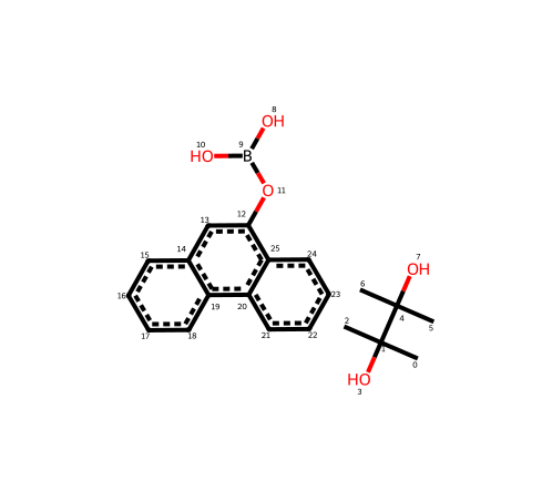 CC(C)(O)C(C)(C)O.OB(O)Oc1cc2ccccc2c2ccccc12